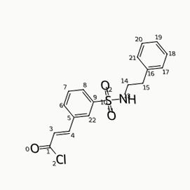 O=C(Cl)C=Cc1cccc(S(=O)(=O)NCCc2ccccc2)c1